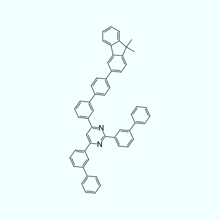 CC1(C)c2ccccc2-c2cc(-c3ccc(-c4cccc(-c5cc(-c6cccc(-c7ccccc7)c6)nc(-c6cccc(-c7ccccc7)c6)n5)c4)cc3)ccc21